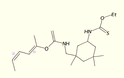 C=C(NCC1(C)CC(NC(=S)OCC)CC(C)(C)C1)O/C(C)=C/C=C\C